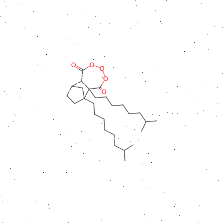 CC(C)CCCCCCC12CCC(C1)C1C(=O)OOOC(=O)C12CCCCCCC(C)C